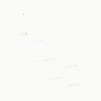 CC(C)(C)OC(=O)N1CCC2(CC1)OCc1cc(F)ccc1O2